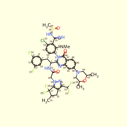 CNc1c(-n2c(C(Cc3cc(F)cc(F)c3)NC(=O)Cn3nc(C(F)F)c4c3C(F)(F)C(C)C4)nc3cc(N4CC(C)OC(C)C4)ccc3c2=O)ccc(Cl)c1C(=N)N[S+](C)[O-]